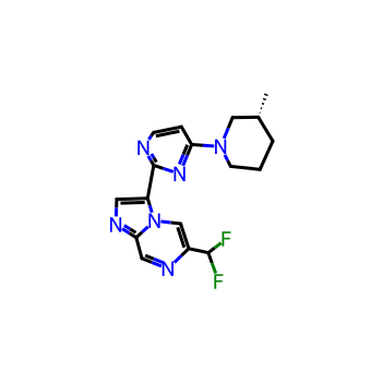 C[C@@H]1CCCN(c2ccnc(-c3cnc4cnc(C(F)F)cn34)n2)C1